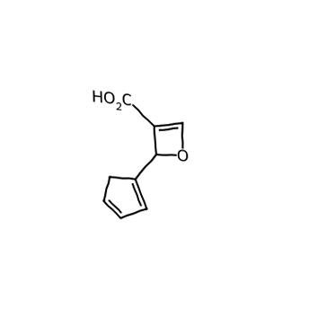 O=C(O)C1=COC1C1=CC=CC1